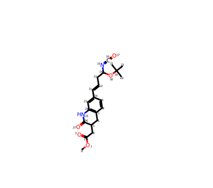 COC(=O)CC1Cc2ccc(C=CCC(N=C=O)OC(C)(C)C)cc2NC1=O